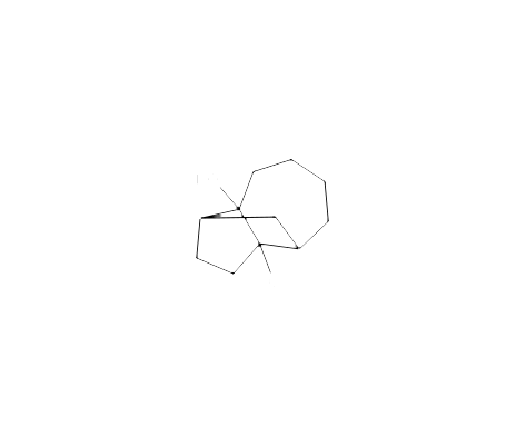 OC12CCCCC3CC1CCC32O